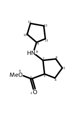 COC(=O)C1CCCC1NC1CCCC1